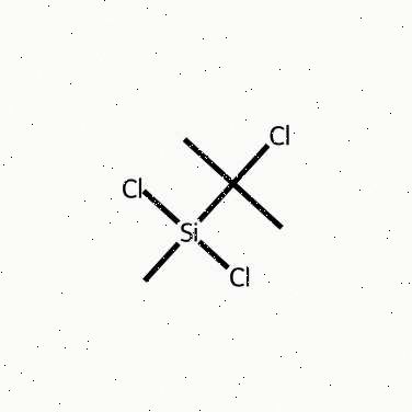 CC(C)(Cl)[Si](C)(Cl)Cl